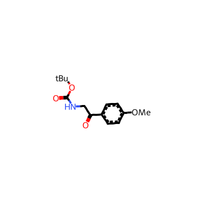 COc1ccc(C(=O)CNC(=O)OC(C)(C)C)cc1